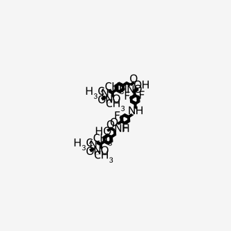 Cc1c(-c2ccc(CC(NC(=O)c3c(F)cc(CNCc4cc(F)c(C(=O)NC(Cc5ccc(-c6c(C)n(C)c(=O)n(C)c6=O)cc5)C(=O)O)c(F)c4)cc3F)C(=O)O)cc2)c(=O)n(C)c(=O)n1C